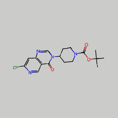 CC(C)(C)OC(=O)N1CCC(n2cnc3cc(Cl)ncc3c2=O)CC1